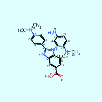 CN(C)c1ccc(-c2nc3cc(C(=O)O)ccc3[nH]2)cc1.CN(C)c1ccc(N)cc1